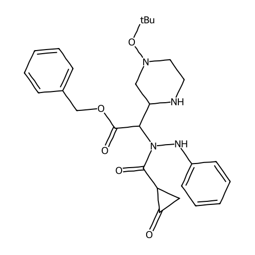 CC(C)(C)ON1CCNC(C(C(=O)OCc2ccccc2)N(Nc2ccccc2)C(=O)C2CC2=O)C1